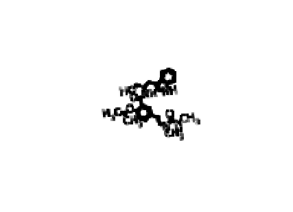 CNC(=O)N(C)CCc1ccc(OC(C)C)c(C(=O)N[C@@H](CO)Cc2c[nH]c3ccccc23)c1